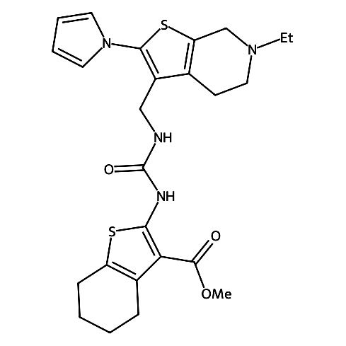 CCN1CCc2c(sc(-n3cccc3)c2CNC(=O)Nc2sc3c(c2C(=O)OC)CCCC3)C1